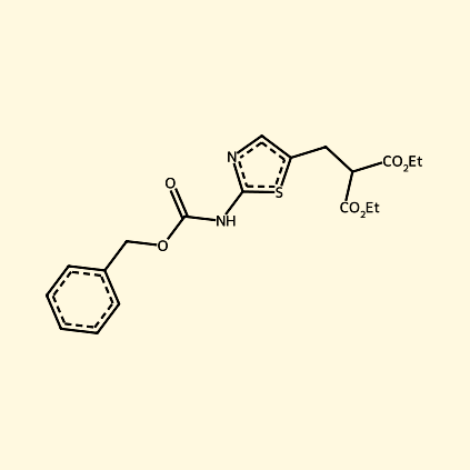 CCOC(=O)C(Cc1cnc(NC(=O)OCc2ccccc2)s1)C(=O)OCC